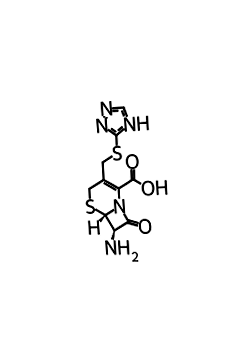 N[C@@H]1C(=O)N2C(C(=O)O)=C(CSc3nnc[nH]3)CS[C@@H]12